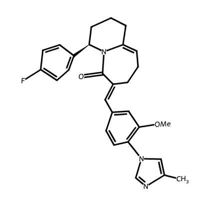 COc1cc(C=C2CCC=C3CCC[C@H](c4ccc(F)cc4)N3C2=O)ccc1-n1cnc(C)c1